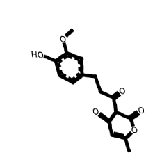 COc1cc(CCC(=O)C2C(=O)C=C(C)OC2=O)ccc1O